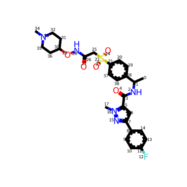 CC(NC(=O)c1cc(-c2ccc(F)cc2)nn1C)c1ccc(S(=O)(=O)CC(=O)NOC2CCN(C)CC2)cc1